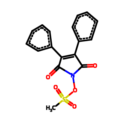 CS(=O)(=O)ON1C(=O)C(c2ccccc2)=C(c2ccccc2)C1=O